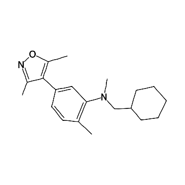 Cc1ccc(-c2c(C)noc2C)cc1N(C)CC1CCCCC1